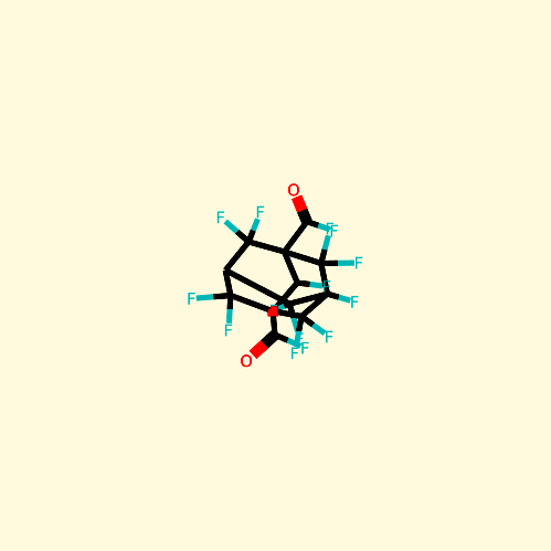 O=C(F)C12C(F)C3(C(=O)F)C(F)(F)C(C1(F)F)C(F)(F)C(F)(C2(F)F)C3(F)F